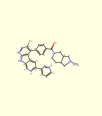 CN1CC2CCN(C(=O)c3ccc(-c4c(F)cnc5[nH]c6cnc(-c7cccnc7)cc6c45)cc3)CC2C1